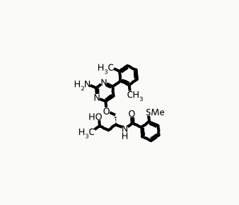 CSc1ccccc1C(=O)N[C@@H](COc1cc(-c2c(C)cccc2C)nc(N)n1)CC(C)O